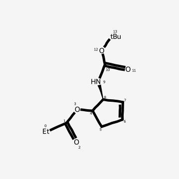 CCC(=O)OC1CC=C[C@@H]1NC(=O)OC(C)(C)C